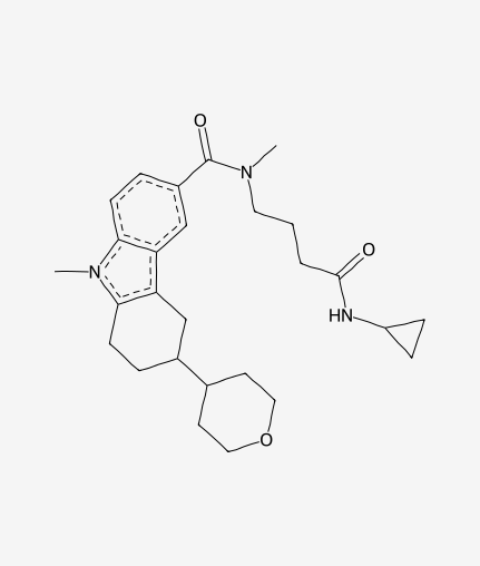 CN(CCCC(=O)NC1CC1)C(=O)c1ccc2c(c1)c1c(n2C)CCC(C2CCOCC2)C1